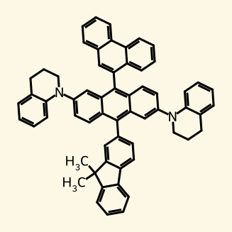 CC1(C)c2ccccc2-c2ccc(-c3c4cc(N5CCCc6ccccc65)ccc4c(-c4cc5ccccc5c5ccccc45)c4cc(N5CCCc6ccccc65)ccc34)cc21